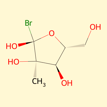 C[C@@]1(O)[C@H](O)[C@@H](CO)O[C@@]1(O)Br